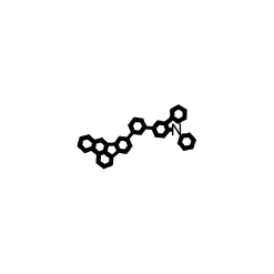 c1ccc(-n2c3ccccc3c3cc(-c4cccc(-c5ccc6c(c5)-c5cc7ccccc7c7cccc-6c57)c4)ccc32)cc1